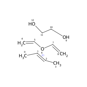 C/C=C/C.C=COC=C.OCCO